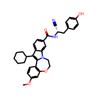 COc1ccc2c(c1)OCCn1c-2c(C2CCCCC2)c2ccc(C(=O)N[C@H](C#N)Cc3ccc(O)cc3)cc21